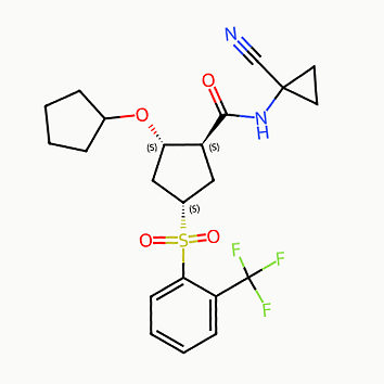 N#CC1(NC(=O)[C@H]2C[C@H](S(=O)(=O)c3ccccc3C(F)(F)F)C[C@@H]2OC2CCCC2)CC1